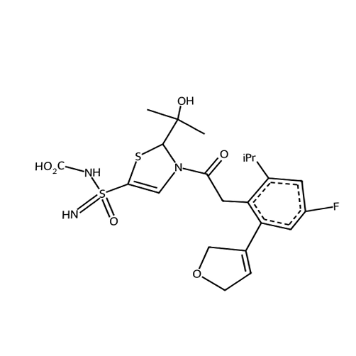 CC(C)c1cc(F)cc(C2=CCOC2)c1CC(=O)N1C=C(S(=N)(=O)NC(=O)O)SC1C(C)(C)O